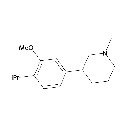 COc1cc(C2CCCN(C)C2)ccc1C(C)C